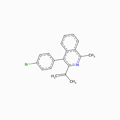 C=C(C)c1nc(C)c2ccccc2c1-c1ccc(Br)cc1